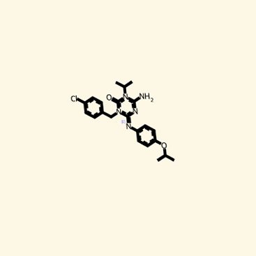 CC(C)Oc1ccc(/N=c2\nc(N)n(C(C)C)c(=O)n2Cc2ccc(Cl)cc2)cc1